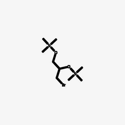 C[Si](C)(C)OCC(CBr)O[Si](C)(C)C